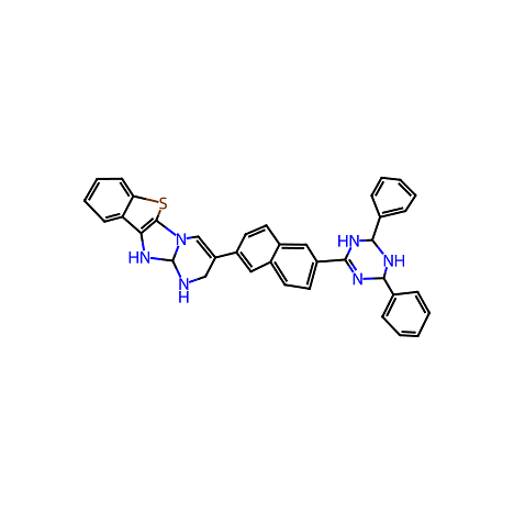 C1=C(c2ccc3cc(C4=NC(c5ccccc5)NC(c5ccccc5)N4)ccc3c2)CNC2Nc3c(sc4ccccc34)N12